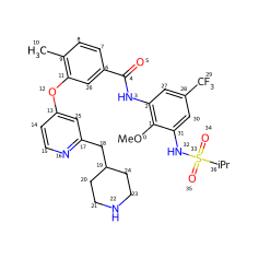 COc1c(NC(=O)c2ccc(C)c(Oc3ccnc(CC4CCNCC4)c3)c2)cc(C(F)(F)F)cc1NS(=O)(=O)C(C)C